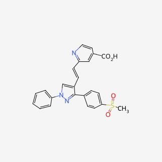 CS(=O)(=O)c1ccc(-c2nn(-c3ccccc3)cc2C=Cc2cc(C(=O)O)ccn2)cc1